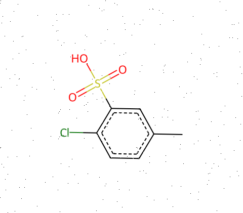 Cc1ccc(Cl)c(S(=O)(=O)O)c1